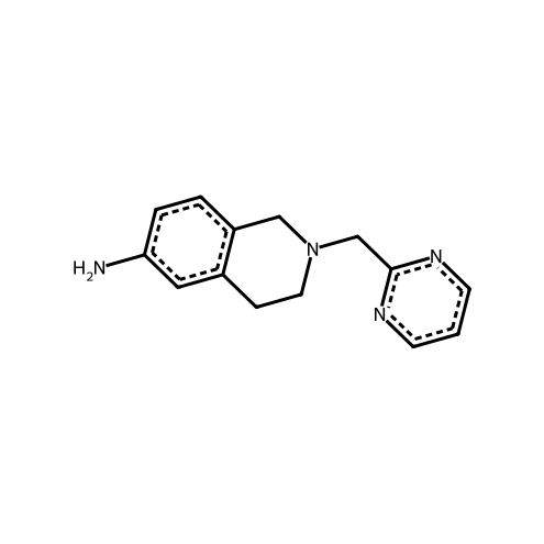 Nc1ccc2c(c1)CCN(Cc1ncccn1)C2